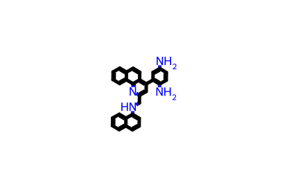 Nc1ccc(N)c(-c2cc(CNc3cccc4ccccc34)nc3c2ccc2ccccc23)c1